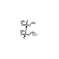 CCCCOP(=S)([S-])OCCCC.CCCCOP(=S)([S-])OCCCC.[Co+2]